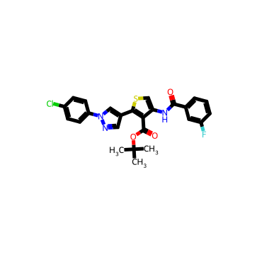 CC(C)(C)OC(=O)c1c(NC(=O)c2cccc(F)c2)csc1-c1cnn(-c2ccc(Cl)cc2)c1